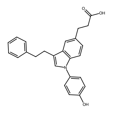 O=C(O)CCc1ccc2c(c1)c(CCc1ccccc1)cn2-c1ccc(O)cc1